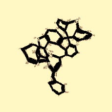 c1ccc(-c2cc(-c3cccc4c3-c3c(ccc5sc6ccccc6c35)C43c4ccccc4Oc4ccccc43)nc(-c3ccccc3)n2)cc1